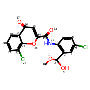 COC(O)c1cc(Cl)ccc1NC(=O)c1cc(=O)c2cccc(Cl)c2o1